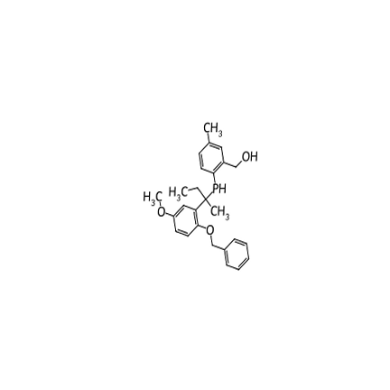 CCC(C)(Pc1ccc(C)cc1CO)c1cc(OC)ccc1OCc1ccccc1